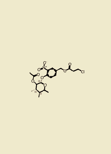 CC(=O)OC1[C@H](Oc2ccc(COC(=O)CCCl)cc2[N+](=O)[O-])OC(C)[C@@H](C)[C@@H]1C